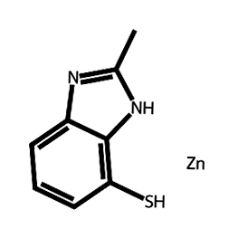 Cc1nc2cccc(S)c2[nH]1.[Zn]